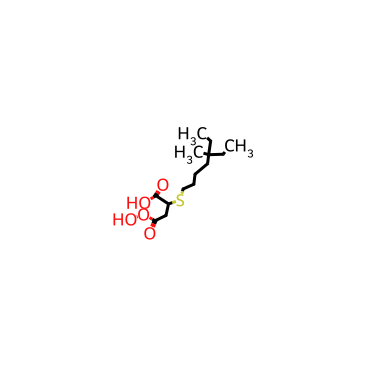 CCC(C)(CC)CCCCSC(CC(=O)OO)C(=O)O